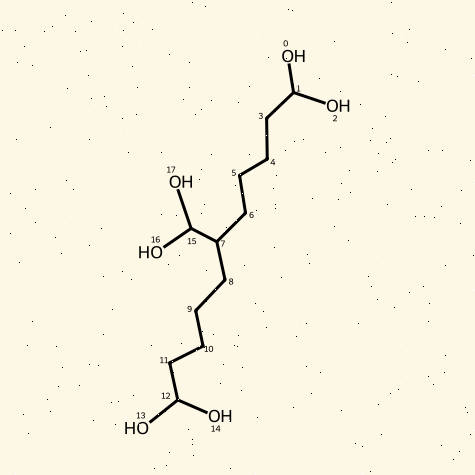 OC(O)CCCCC(CCCCC(O)O)C(O)O